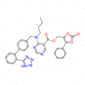 CCCCN(Cc1ccc(-c2ccccc2-c2nnn[nH]2)cc1)c1ncncc1C(=O)OCc1oc(=O)oc1-c1ccccc1